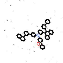 c1ccc(-c2cccc(-c3c(-c4cccc(N(c5ccc(-c6cccc(-c7cccc8ccccc78)c6)cc5)c5ccc6c(c5)oc5ccccc56)c4)c4ccccc4c4ccccc34)c2)cc1